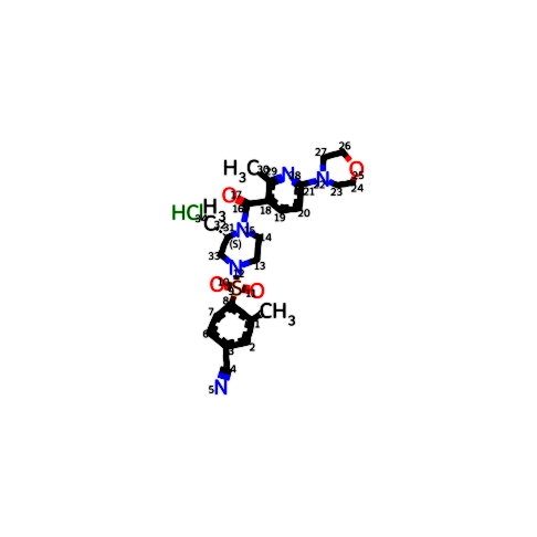 Cc1cc(C#N)ccc1S(=O)(=O)N1CCN(C(=O)c2ccc(N3CCOCC3)nc2C)[C@@H](C)C1.Cl